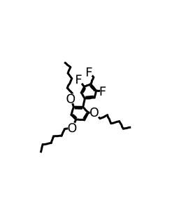 CCCCCCOc1cc(OCCCCCC)c(-c2cc(F)c(CF)c(F)c2)c(OCCCCCC)c1